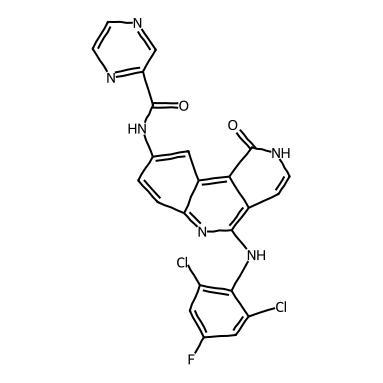 O=C(Nc1ccc2nc(Nc3c(Cl)cc(F)cc3Cl)c3cc[nH]c(=O)c3c2c1)c1cnccn1